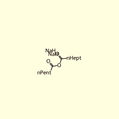 CCCCCCCC(=O)OC(=O)CCCCC.[NaH].[NaH]